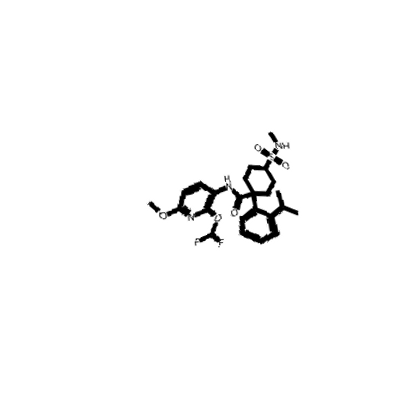 CNS(=O)(=O)C1CCC(C(=O)Nc2ccc(OC)nc2OC(F)F)(c2ccccc2C(C)C)CC1